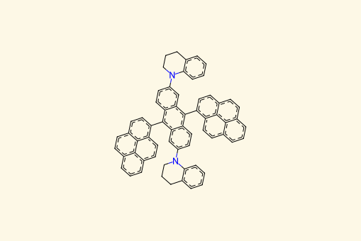 c1ccc2c(c1)CCCN2c1ccc2c(-c3ccc4ccc5cccc6ccc3c4c56)c3cc(N4CCCc5ccccc54)ccc3c(-c3ccc4ccc5cccc6ccc3c4c56)c2c1